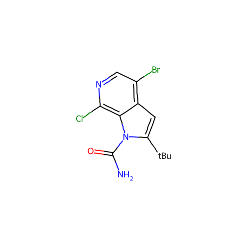 CC(C)(C)c1cc2c(Br)cnc(Cl)c2n1C(N)=O